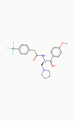 COc1ccc([C@@H](O)[C@@H](CN2CCCC2)NC(=O)Cc2ccc(C(F)(F)F)cc2)cc1